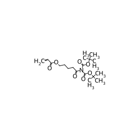 C=CC(=O)OCCCCC(=O)N(C(=O)OC(C)(C)C)C(=O)OC(C)(C)C